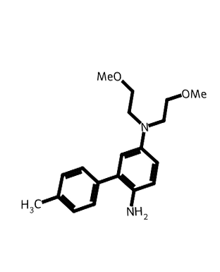 COCCN(CCOC)c1ccc(N)c(-c2ccc(C)cc2)c1